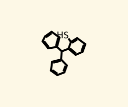 Sc1ccccc1C(c1ccccc1)c1ccccc1